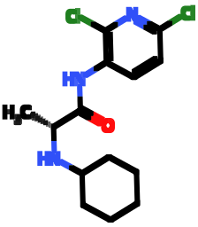 C[C@@H](NC1CCCCC1)C(=O)Nc1ccc(Cl)nc1Cl